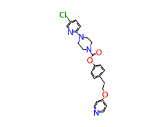 O=C(Oc1ccc(CCOc2ccncc2)cc1)N1CCN(c2ccc(Cl)cn2)CC1